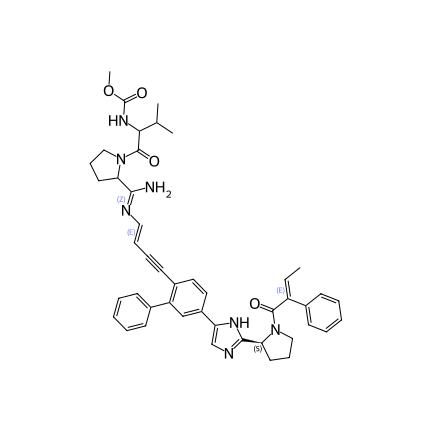 C/C=C(/C(=O)N1CCC[C@H]1c1ncc(-c2ccc(C#C/C=C/N=C(\N)C3CCCN3C(=O)C(NC(=O)OC)C(C)C)c(-c3ccccc3)c2)[nH]1)c1ccccc1